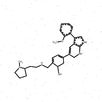 COc1ccccc1-c1c[nH]c2c1C=C(C1=CC=C(CNCCC3CCCN3C)C(O)C1)CN2